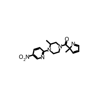 CC1CN(C(=O)C2(C)C=CC=N2)CCN1c1ccc([N+](=O)[O-])cn1